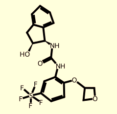 O=C(Nc1cc(S(F)(F)(F)(F)F)ccc1OC1COC1)N[C@@H]1c2ccccc2C[C@@H]1O